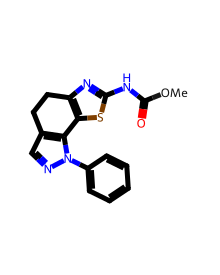 COC(=O)Nc1nc2c(s1)-c1c(cnn1-c1ccccc1)CC2